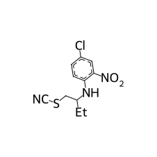 CCC(CSC#N)Nc1ccc(Cl)cc1[N+](=O)[O-]